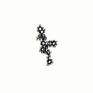 O=C(NS(=O)(=O)c1ccc2ccccc2c1)c1ccc(-c2ccnc(N3CCC(CCc4ccccc4)C3)n2)c(C(=O)N2CCc3ccccc3C2)c1